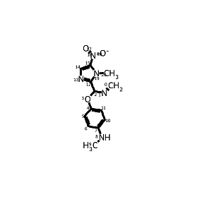 C=NC(Oc1ccc(NC)cc1)c1ncc([N+](=O)[O-])n1C